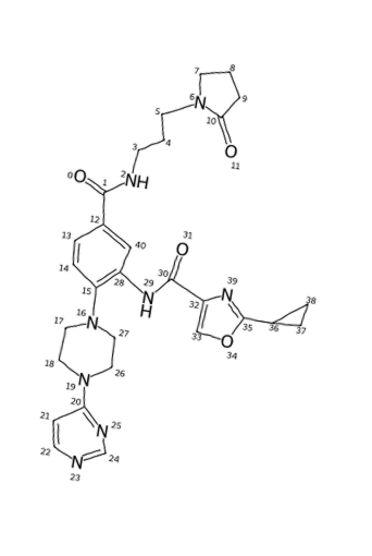 O=C(NCCCN1CCCC1=O)c1ccc(N2CCN(c3ccncn3)CC2)c(NC(=O)c2coc(C3CC3)n2)c1